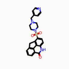 O=c1[nH]c2ccc(S(=O)(=O)N3CCN(Cc4ccncc4)CC3)c3c2c2c(cccc12)C3